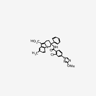 COc1ncn(-c2ccc(C(=O)N[C@]3(c4ccccc4)CCc4c(C(=O)O)c5cc(C)ccc5n4C3)c(Cl)c2)n1